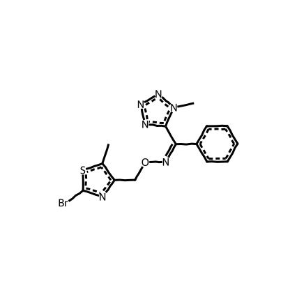 Cc1sc(Br)nc1CON=C(c1ccccc1)c1nnnn1C